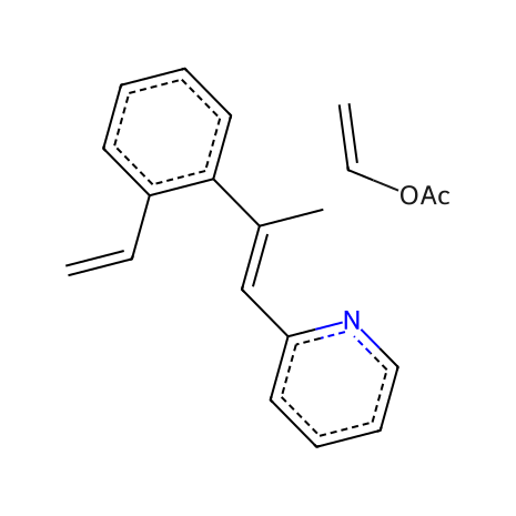 C=COC(C)=O.C=Cc1ccccc1C(C)=Cc1ccccn1